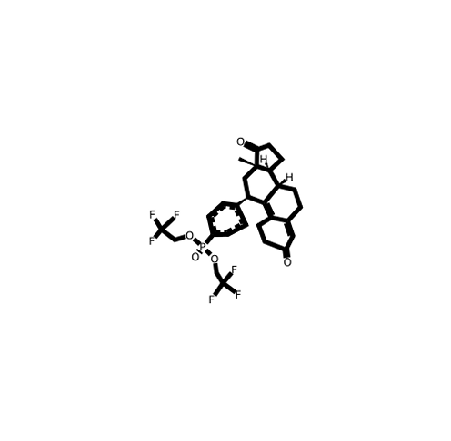 C[C@]12C[C@H](c3ccc(P(=O)(OCC(F)(F)F)OCC(F)(F)F)cc3)C3=C4CCC(=O)C=C4CC[C@H]3[C@@H]1CCC2=O